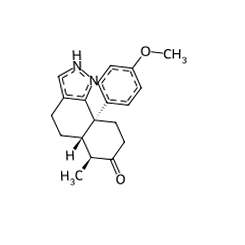 COc1ccc([C@]23CCC(=O)[C@@H](C)[C@@H]2CCc2c[nH]nc23)cc1